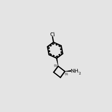 N[C@H]1CC[C@H]1c1ccc(Cl)cc1